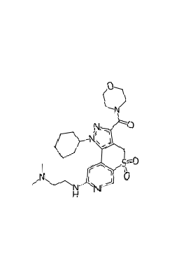 CN(C)CCNc1cc2c(cn1)S(=O)(=O)Cc1c(C(=O)N3CCOCC3)nn(C3CCCCC3)c1-2